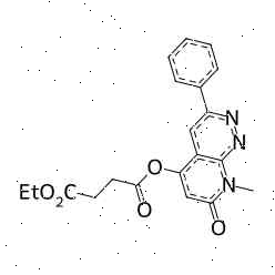 CCOC(=O)CCC(=O)Oc1cc(=O)n(C)c2nnc(-c3ccccc3)cc12